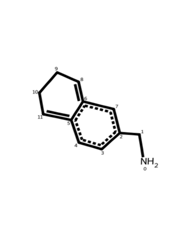 NCc1ccc2c(c1)=CCCC=2